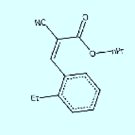 CCCOC(=O)C(C#N)=Cc1ccccc1CC